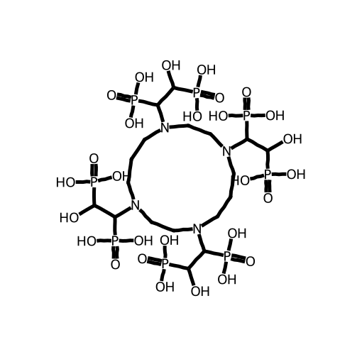 O=P(O)(O)C(O)C(N1CCCN(C(C(O)P(=O)(O)O)P(=O)(O)O)CCN(C(C(O)P(=O)(O)O)P(=O)(O)O)CCCN(C(C(O)P(=O)(O)O)P(=O)(O)O)CC1)P(=O)(O)O